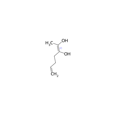 C=CCC/C(O)=C(\C)O